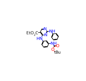 CCOC(=O)c1cnc(Nc2ccccc2)nc1Nc1cccc(NC(=O)OC(C)(C)C)c1